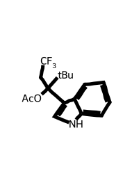 CC(=O)OC(CC(F)(F)F)(c1c[nH]c2ccccc12)C(C)(C)C